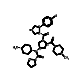 CN1CCN(C(=O)[C@H]2C[C@H](N(C(=O)[C@@H]3CCCO3)[C@H]3CC[C@@H](C)CC3)CN2C(=O)[C@@H]2CNC[C@H]2c2ccc(Cl)cc2)CC1